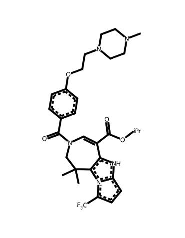 CC(C)OC(=O)C1=CN(C(=O)c2ccc(OCCN3CCN(C)CC3)cc2)CC(C)(C)c2c1[nH]c1ccc(C(F)(F)F)n21